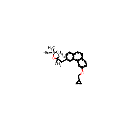 CC(C)(Cc1ccc2ccc3ccc(OCC4CC4)cc3c2c1)O[Si](C)(C)C(C)(C)C